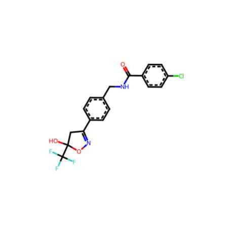 O=C(NCc1ccc(C2=NOC(O)(C(F)(F)F)C2)cc1)c1ccc(Cl)cc1